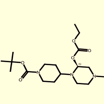 CCOC(=O)O[C@H]1CN(C)CCN1C1CCN(C(=O)OC(C)(C)C)CC1